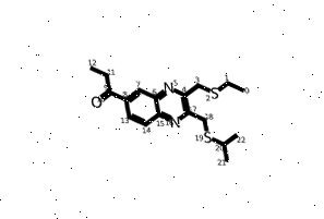 CCSCc1nc2cc(C(=O)CC)ccc2nc1CSC(C)C